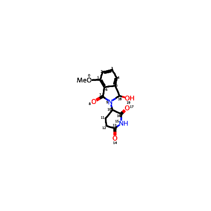 COc1cccc2c1C(=O)N(C1CCC(=O)NC1=O)C2O